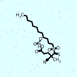 CCCCCCCCCCCCS(=O)(=O)C(=S)C(C)(C#N)CCC(=O)O[SH](=O)=O